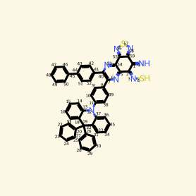 N=C1/C(=N\S)c2nc(-c3ccc(N4c5ccccc5C(c5ccccc5)(c5ccccc5)c5ccccc54)cc3)c(-c3ccc(-c4ccccc4)cc3)nc2-c2nsnc21